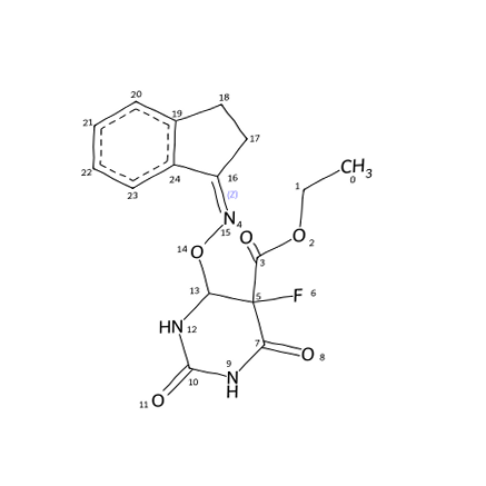 CCOC(=O)C1(F)C(=O)NC(=O)NC1O/N=C1/CCc2ccccc21